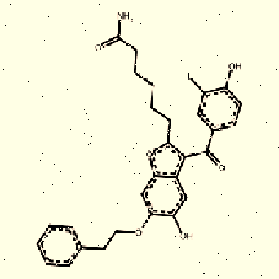 NC(=O)CCCCCc1oc2cc(OCCc3ccccc3)c(O)cc2c1C(=O)c1ccc(O)c(I)c1